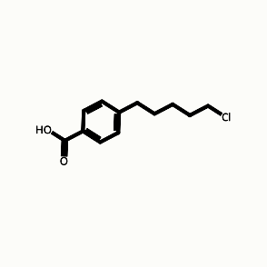 O=C(O)c1ccc(CCCCCCl)cc1